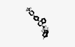 CS(=O)(=O)N1CCN(c2ccc(N3CCN(C(=O)NC4[C@@H]5CC6C[C@H]4CC(F)(C6)C5)c4ccccc43)cc2)CC1